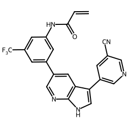 C=CC(=O)Nc1cc(-c2cnc3[nH]cc(-c4cncc(C#N)c4)c3c2)cc(C(F)(F)F)c1